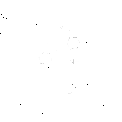 O=C1CCCN1CCCNCc1cccc2c1C(S(=O)(=O)c1ccccc1)CS2(=O)=O